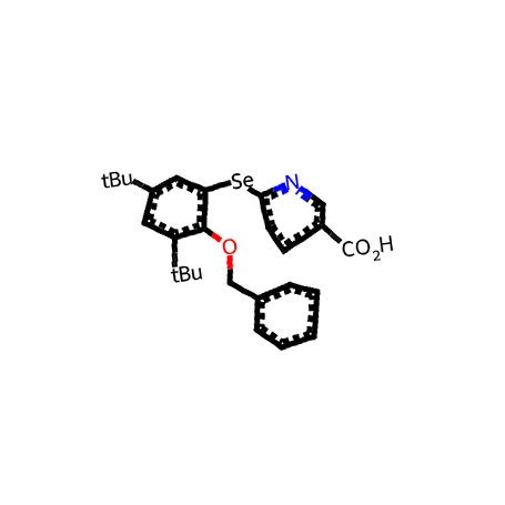 CC(C)(C)c1cc([Se]c2ccc(C(=O)O)cn2)c(OCc2ccccc2)c(C(C)(C)C)c1